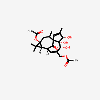 CCCC(=O)OCC1=C[C@@H]2C(=O)C3(C=C(C)[C@H](O)[C@@]3(O)[C@@H]1O)C(C)C[C@]1(OC(=O)CCC)[C@H]2C1(C)C